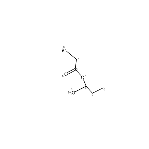 CCC(O)OC(=O)CBr